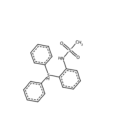 CS(=O)(=O)Nc1ccccc1[SH](c1ccccc1)c1ccccc1